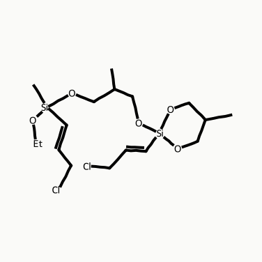 CCO[Si](C)(C=CCCl)OCC(C)CO[Si]1(C=CCCl)OCC(C)CO1